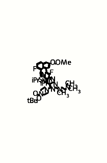 COCOc1cc(-c2ncc3cc4c(N5CCN(C(=O)OC(C)(C)C)CC5)nc(N(C)CCN(C)C)nc4nc3c2F)c2c(C#C[Si](C(C)C)(C(C)C)C(C)C)c(F)ccc2c1